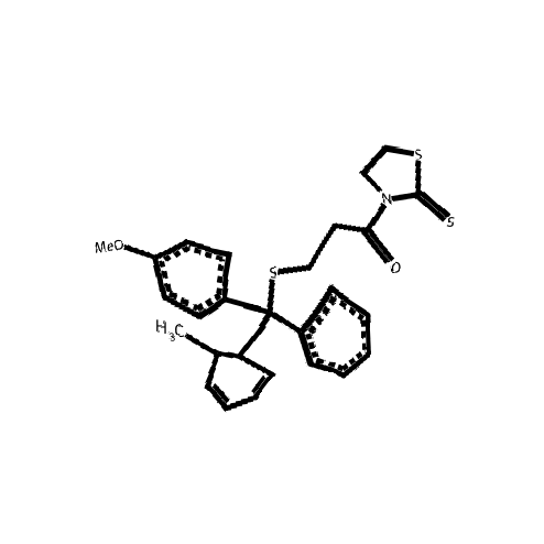 COc1ccc(C(SCCC(=O)N2CCSC2=S)(c2ccccc2)C2C=CC=CC2C)cc1